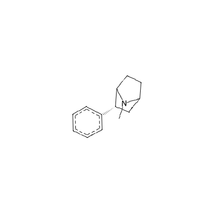 CN1C2CCC1[C@@H](c1ccccc1)C2